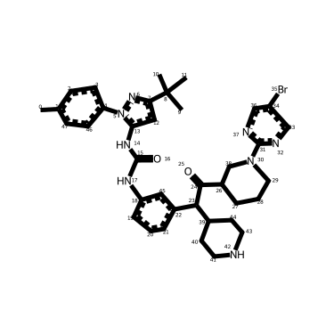 Cc1ccc(-n2nc(C(C)(C)C)cc2NC(=O)Nc2cccc(C(C(=O)C3CCCN(c4ncc(Br)cn4)C3)C3CCNCC3)c2)cc1